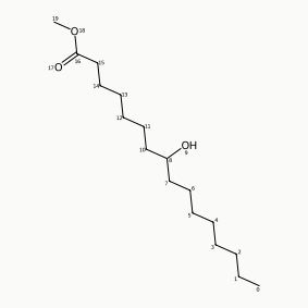 CCCCCCCCC(O)CCCCCCC(=O)OC